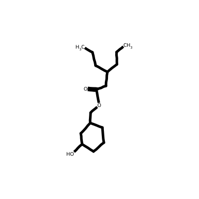 CCCC(CCC)CC(=O)OCC1CCCC(O)C1